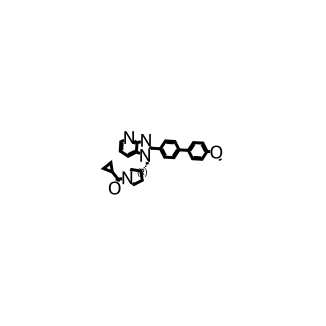 COc1ccc(-c2ccc(-c3nc4ncccc4n3C[C@@H]3CCN(C(=O)C4CC4)C3)cc2)cc1